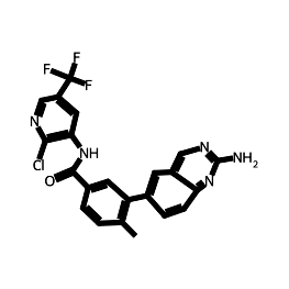 Cc1ccc(C(=O)Nc2cc(C(F)(F)F)cnc2Cl)cc1-c1ccc2nc(N)ncc2c1